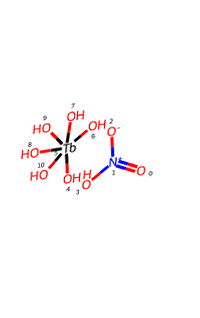 O=[N+]([O-])O.[OH][Tb]([OH])([OH])([OH])([OH])[OH]